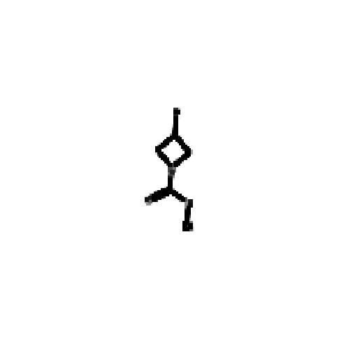 CCOC(=O)N1CC(F)C1